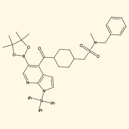 CC(C)[Si](C(C)C)(C(C)C)n1ccc2c(C(=O)C3CCC(CS(=O)(=O)N(C)Cc4ccccc4)CC3)c(B3OC(C)(C)C(C)(C)O3)cnc21